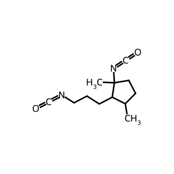 CC1CCC(C)(N=C=O)C1CCCN=C=O